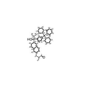 CC(C=O)Cc1ccc2cc(C(O)(c3cn(C(c4ccccc4)(c4ccccc4)c4ccccc4)cn3)C(C)C)ccc2c1